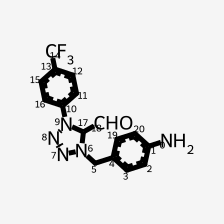 Nc1ccc(CN2N=NN(c3ccc(C(F)(F)F)cc3)C2C=O)cc1